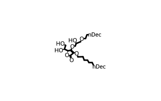 CCCCCCCCCCCCCCCCOC1=C(OCC(O)COCCCCCCCCCCCC)[C@@H]([C@@H](O)CO)OC1=O